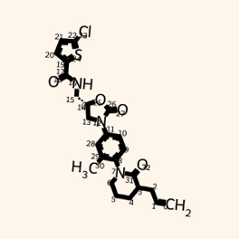 C=CCC1CCCN(c2ccc(N3C[C@H](CNC(=O)c4ccc(Cl)s4)OC3=O)cc2C)C1=O